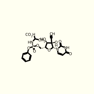 C#C[C@@]1(O)[C@H](O)[C@@H](CO[P@@](=O)(NC(C)C(=O)O)Oc2ccccc2)O[C@H]1n1ccc(=O)[nH]c1=O